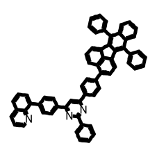 c1ccc(-c2nc(-c3ccc(-c4ccc5c6c(cccc46)-c4c-5c(-c5ccccc5)c5ccccc5c4-c4ccccc4)cc3)cc(-c3ccc(-c4cccc5cccnc45)cc3)n2)cc1